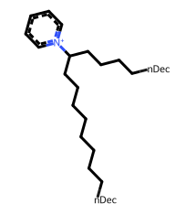 CCCCCCCCCCCCCCCCCCC(CCCCCCCCCCCCCC)[n+]1ccccc1